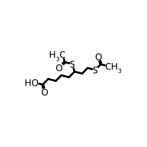 CC(=O)SCCC(CCCCC(=O)O)SC(C)=O